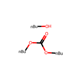 CCCCO.CCCCOC(=O)OCCCC